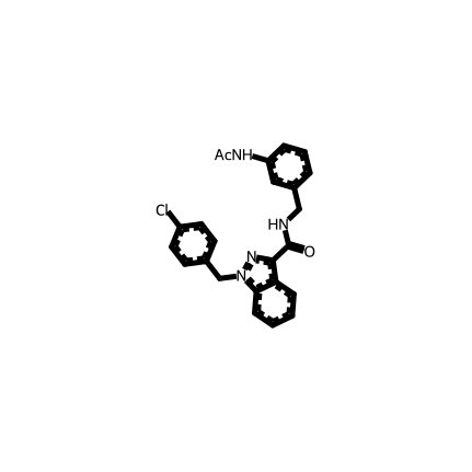 CC(=O)Nc1cccc(CNC(=O)c2nn(Cc3ccc(Cl)cc3)c3ccccc23)c1